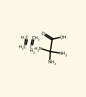 C=C.C=C.NC(N)(N)C(=O)O